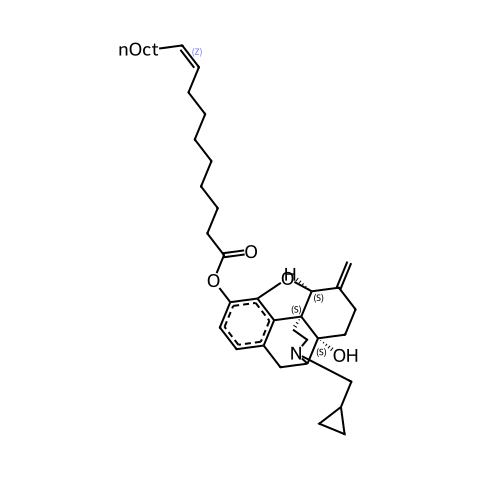 C=C1CC[C@@]2(O)C3Cc4ccc(OC(=O)CCCCCCC/C=C\CCCCCCCC)c5c4[C@@]2(CCN3CC2CC2)[C@H]1O5